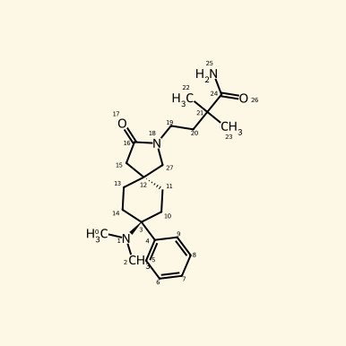 CN(C)[C@]1(c2ccccc2)CC[C@]2(CC1)CC(=O)N(CCC(C)(C)C(N)=O)C2